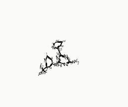 Nc1nc(Nc2ccnc(C(F)(F)F)c2)nc(-c2ccccn2)n1